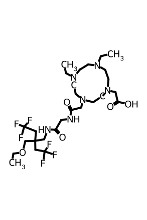 CCOCC(CNC(=O)CNC(=O)CN1CCN(CC)CCN(CC)CCN(CC(=O)O)CC1)(CC(F)(F)F)CC(F)(F)F